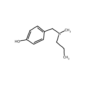 CCCN(C)Cc1ccc(O)cc1